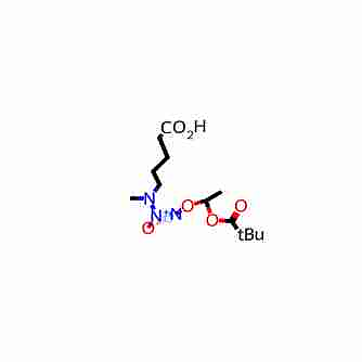 CC(O/N=[N+](/[O-])N(C)CCCCC(=O)O)OC(=O)C(C)(C)C